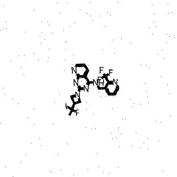 CC(F)(I)C1CN(c2nc(NCc3cccnc3C(F)(F)F)c3cccnc3n2)C1